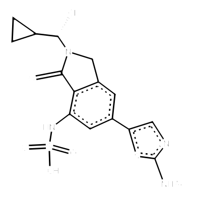 CC(=O)Nc1ncc(-c2cc3c(c(NS(C)(=O)=O)c2)C(=O)N([C@@H](C)C2CC2)C3)s1